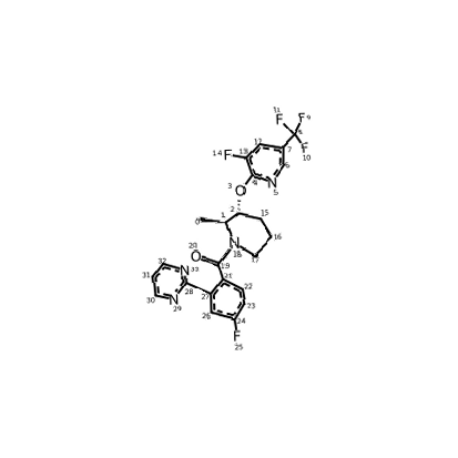 C[C@H]1[C@H](Oc2ncc(C(F)(F)F)cc2F)CCCN1C(=O)c1ccc(F)cc1-c1ncccn1